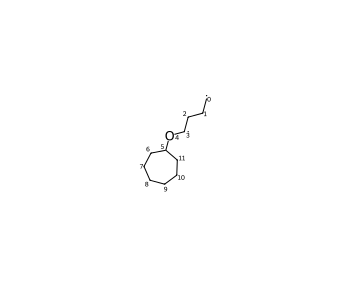 [CH2]CC[CH]OC1CCCCCC1